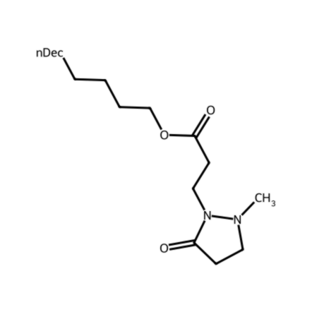 CCCCCCCCCCCCCCOC(=O)CCN1C(=O)CCN1C